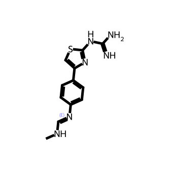 CN/C=N/c1ccc(-c2csc(NC(=N)N)n2)cc1